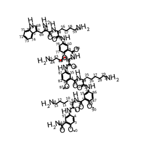 COc1ccc(NC(=O)[C@H](CCCCN)NC(=O)c2cc(NC(=O)[C@H](CCCCCN)NC(=O)c3cc(NC(=O)[C@H](CCCCN)NC(=O)c4cc(NC(=O)[C@H](CCCCN)NC(=O)[C@@H](N)Cc5c[nH]c6ccccc56)ccc4OC)ccc3OC)ccc2OC)cc1C(N)=O